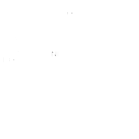 O=C(O)CCNc1cc(O)cc(CCCCCc2ccccc2)c1